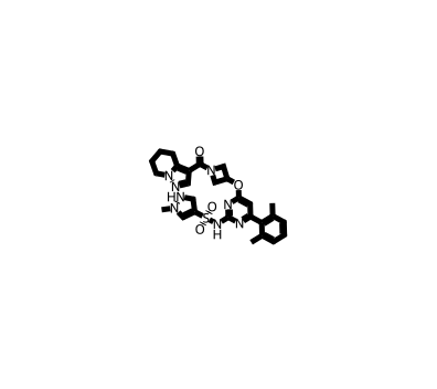 Cc1cccc(C)c1-c1cc(OC2CN(C(=O)c3cnn4c3CCCC4)C2)nc(NS(=O)(=O)C2=CN(C)NC2)n1